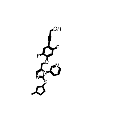 CC1CCC(Sc2ncc(COc3cc(F)c(C#CCO)cc3F)n2-c2cccnc2)C1